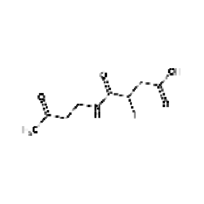 CC(=O)CCNC(=O)C(I)CC(=O)O